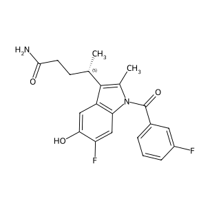 Cc1c([C@@H](C)CCC(N)=O)c2cc(O)c(F)cc2n1C(=O)c1cccc(F)c1